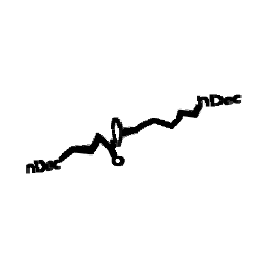 CCCCCCCCCCCCCCCOC(=O)CCCCCCCCCCCCC